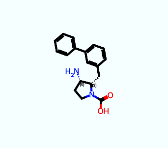 N[C@H]1CCN(C(=O)O)[C@H]1Cc1cccc(-c2ccccc2)c1